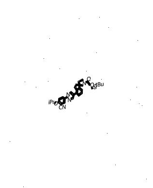 CC(C)Oc1ccc(-c2ncc(-c3cccc4c3CCC43CCN(C(=O)CO[Si](C)(C)C(C)(C)C)C3)cn2)cc1C#N